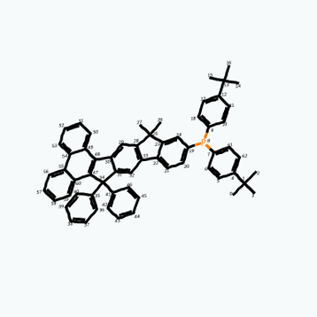 CC(C)(C)c1ccc(P(c2ccc(C(C)(C)C)cc2)c2ccc3c(c2)C(C)(C)c2cc4c(cc2-3)C(c2ccccc2)(c2ccccc2)c2c-4c3ccccc3c3ccccc23)cc1